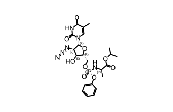 Cc1cn([C@@H]2O[C@H](CO[P@](=O)(N[C@H](C)C(=O)OC(C)C)Oc3ccccc3)[C@@H](O)[C@H]2N=[N+]=[N-])c(=O)[nH]c1=O